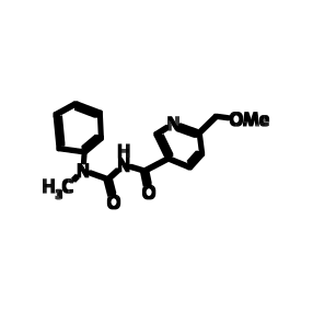 COCc1ccc(C(=O)NC(=O)N(C)c2ccccc2)cn1